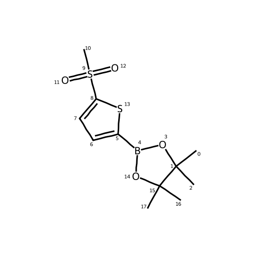 CC1(C)OB(c2ccc(S(C)(=O)=O)s2)OC1(C)C